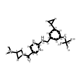 CN(C)C1CN(C(=O)c2cnc(NCc3cc(OC(F)(F)F)cc(C4CC4)c3)nc2)C1